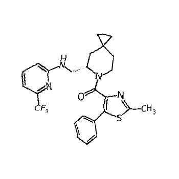 Cc1nc(C(=O)N2CCC3(CC3)C[C@H]2CNc2cccc(C(F)(F)F)n2)c(-c2ccccc2)s1